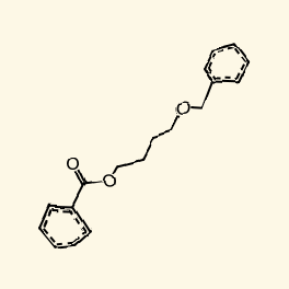 O=C(OCCCCOCc1ccccc1)c1ccccc1